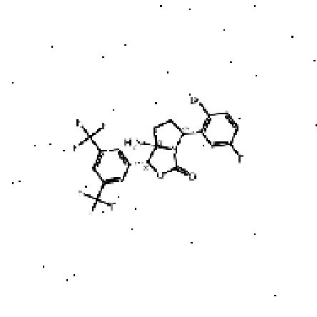 N[C@@]12CC[C@@H](c3cc(F)ccc3Br)N1C(=O)O[C@@H]2c1cc(C(F)(F)F)cc(C(F)(F)F)c1